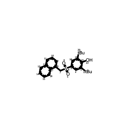 CC(C)(C)c1cc(S(=O)(=O)Cc2cccc3ccccc23)cc(C(C)(C)C)c1O